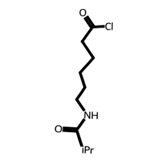 CC(C)C(=O)NCCCCCC(=O)Cl